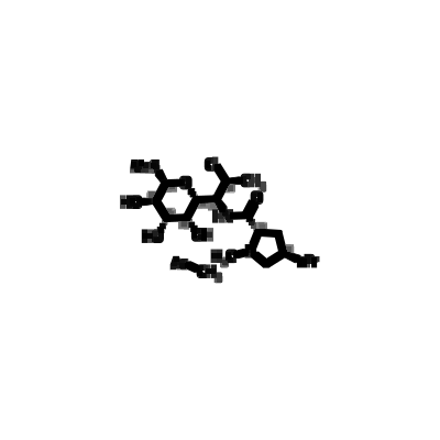 CC(C)=O.CCC[C@@H]1C[C@@H](C(=O)N[C@@H]([C@H]2O[C@H](SC)[C@H](O)[C@@H](O)[C@H]2O)[C@H](C)Cl)N(C)C1